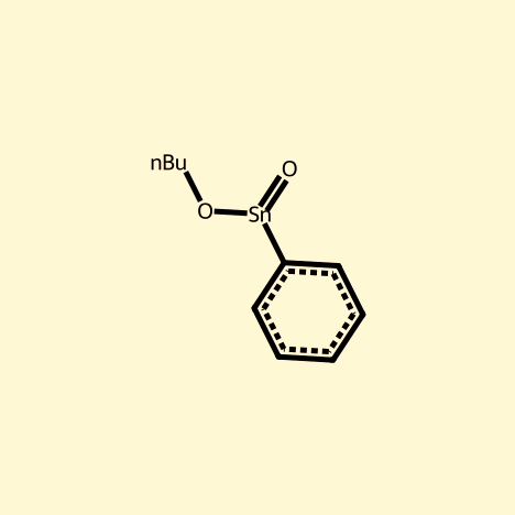 CCCC[O][Sn](=[O])[c]1ccccc1